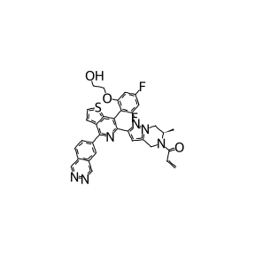 C=CC(=O)N1Cc2cc(-c3nc(-c4ccc5cnncc5c4)c4ccsc4c3-c3c(F)cc(F)cc3OCCO)nn2C[C@H]1C